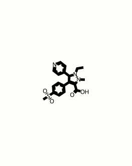 CCN1C(c2ccncc2)C(c2ccc(S(C)(=O)=O)cc2)=C(C(=O)O)N1C